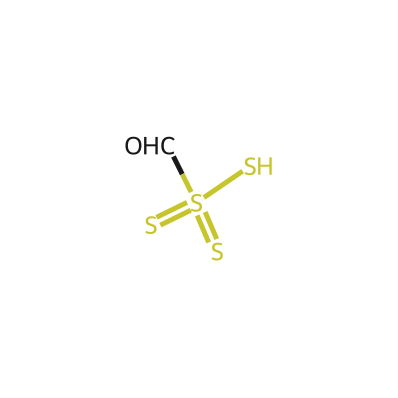 O=CS(=S)(=S)S